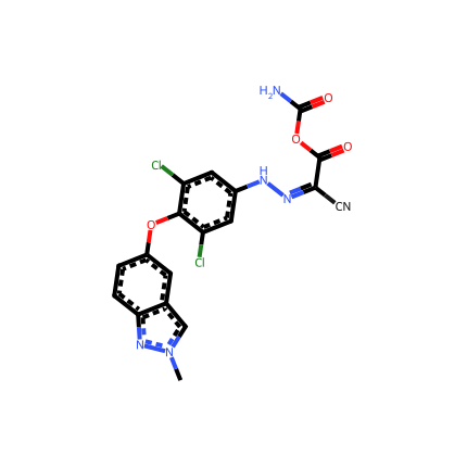 Cn1cc2cc(Oc3c(Cl)cc(NN=C(C#N)C(=O)OC(N)=O)cc3Cl)ccc2n1